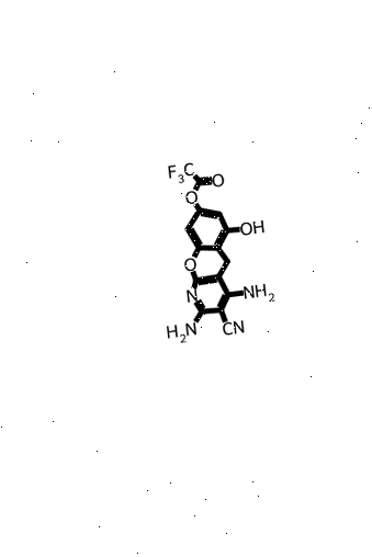 N#Cc1c(N)nc2c(c1N)Cc1c(O)cc(OC(=O)C(F)(F)F)cc1O2